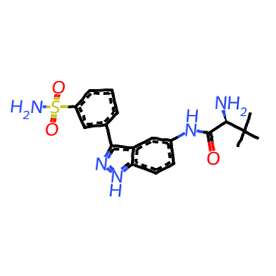 CC(C)(C)[C@H](N)C(=O)Nc1ccc2[nH]nc(-c3cccc(S(N)(=O)=O)c3)c2c1